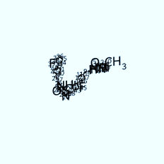 Cc1cc(C(=O)NCCCc2ccc(-c3ccc(Cc4ncc(C(=O)NCCCc5ccc(-c6ccccc6F)cc5)s4)cc3F)cc2)[nH]n1